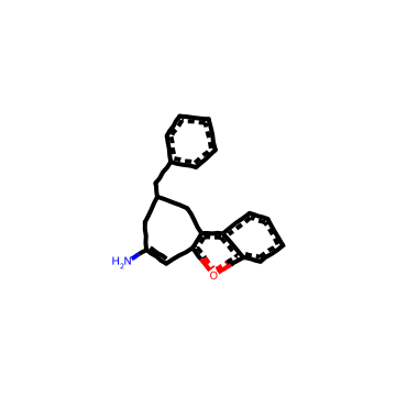 NC1=Cc2oc3ccccc3c2CC(Cc2ccccc2)C1